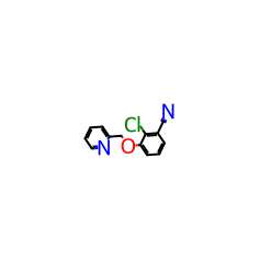 N#Cc1cccc(OCc2ccccn2)c1Cl